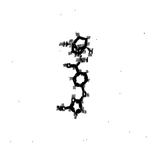 N#Cc1nnc(Oc2ccc(C(=O)N[C@@H]3C[C@H]4CC[C@@H]3N4)cc2)o1